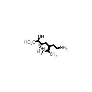 CC(C)=C(CCN)C[C@@H](O)C(O)C(=O)O